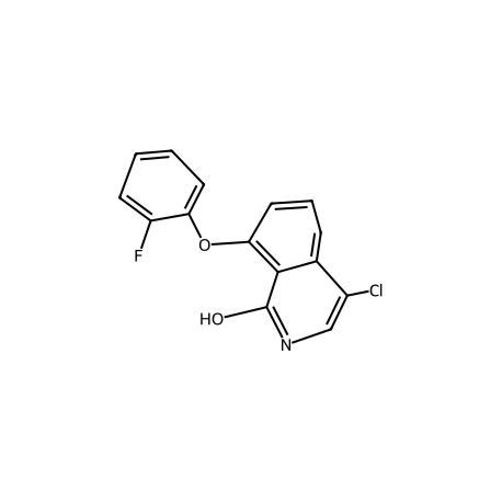 Oc1ncc(Cl)c2cccc(Oc3ccccc3F)c12